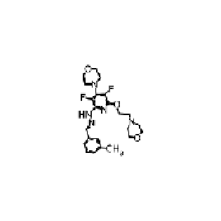 Cc1cccc(C=NNc2nc(OCCN3CCOCC3)c(F)c(N3CCOCC3)c2F)c1